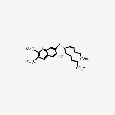 CCCCCCCCCCCC/C=C\[C@@H](Sc1ccc2cc(C(=O)O)c(OC)nc2c1)[C@@H](O)CCCC(=O)O